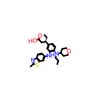 CCCN(c1ccc([C@H](CC)CC(=O)O)cc1Nc1ccc2nc(C)sc2c1)C1CCOCC1